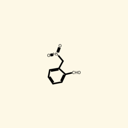 O=Cc1ccccc1C[SH](=O)=O